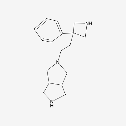 c1ccc(C2(CCN3CC4CNCC4C3)CNC2)cc1